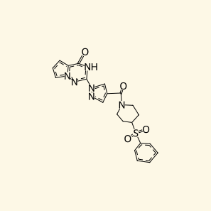 O=C(c1cnn(-c2nn3cccc3c(=O)[nH]2)c1)N1CCC(S(=O)(=O)c2ccccc2)CC1